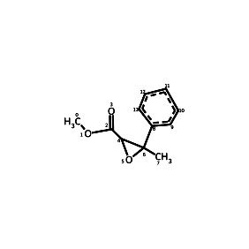 COC(=O)C1OC1(C)c1ccccc1